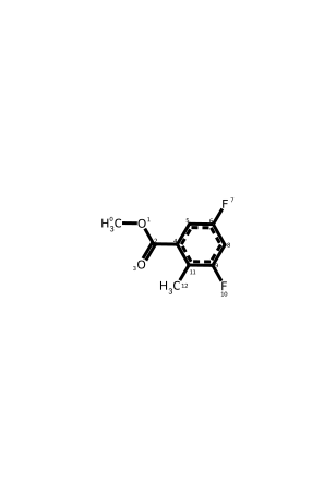 COC(=O)c1cc(F)cc(F)c1C